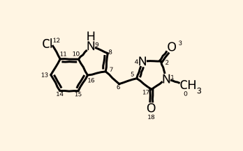 CN1C(=O)N=C(Cc2c[nH]c3c(Cl)cccc23)C1=O